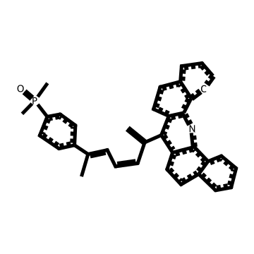 C=C(/C=C\C=C(/C)c1ccc(P(C)(C)=O)cc1)c1c2ccc3ccccc3c2nc2c1ccc1ccccc12